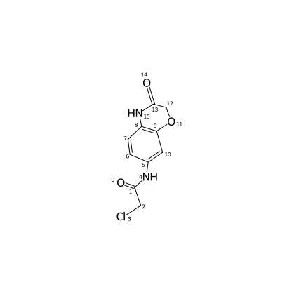 O=C(CCl)Nc1ccc2c(c1)OCC(=O)N2